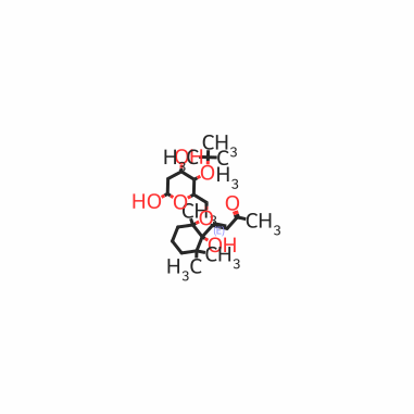 CC(=O)/C=C/C1(O)C(C)(C)CCCC1(C)OCC1OC(O)CC(O)C1OC(C)(C)C